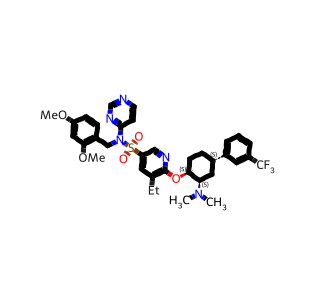 CCc1cc(S(=O)(=O)N(Cc2ccc(OC)cc2OC)c2ccncn2)cnc1O[C@H]1CC[C@H](c2cccc(C(F)(F)F)c2)C[C@@H]1N(C)C